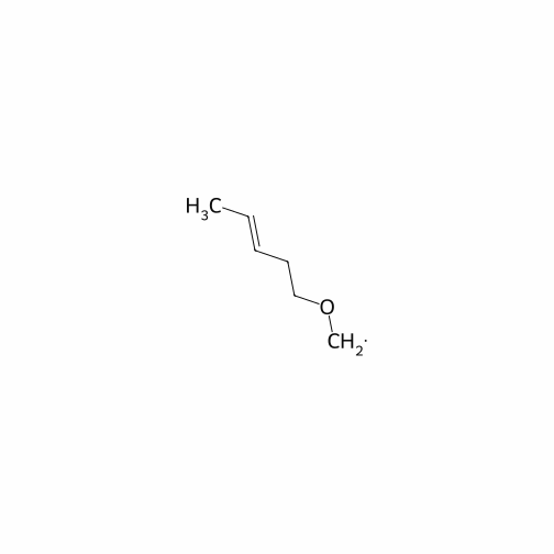 [CH2]OCC/C=C/C